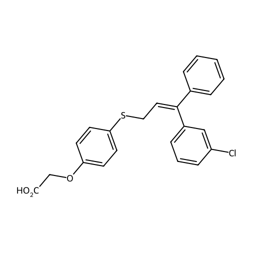 O=C(O)COc1ccc(SCC=C(c2ccccc2)c2cccc(Cl)c2)cc1